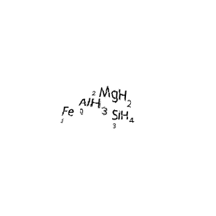 [AlH3].[Fe].[MgH2].[SiH4]